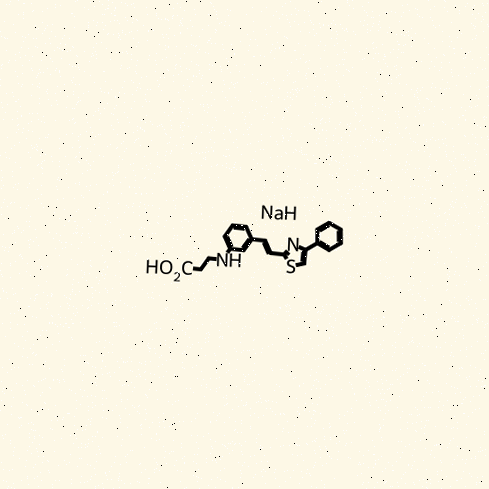 O=C(O)CCNc1cccc(C=Cc2nc(-c3ccccc3)cs2)c1.[NaH]